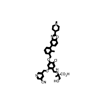 Cc1c(COc2cc(OCc3cncc(C#N)c3)c(CN[C@](C)(CO)C(=O)O)cc2Cl)cccc1-c1ccc2oc(C3CCN(C)CC3)nc2c1